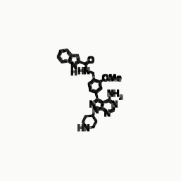 COc1cc(-c2nn(C3CCNCC3)c3ncnc(N)c23)ccc1CNC(=O)c1cc2ccccc2[nH]1